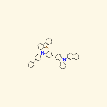 C1=Cc2sc3c(N(c4ccc(-c5ccccc5)cc4)c4ccc(-c5ccc6c(c5)c5ccccc5n6-c5ccc6ccccc6c5)cc4)cccc3c2CC1